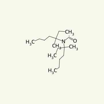 CCCCC(C)(CC)N([C]=O)C(C)(CC)CCCC